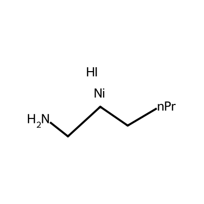 CCCCCCN.I.[Ni]